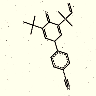 C=CC(C)(C)C1=CC(c2ccc(C#N)cc2)C=C(C(C)(C)C)C1=O